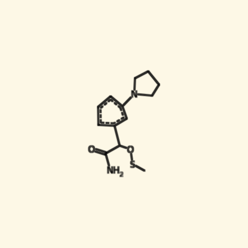 CSOC(C(N)=O)c1cccc(N2CCCC2)c1